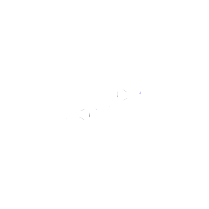 NCc1ccc(C2CC3(C2)CN(c2ccc(OC(F)(F)F)cc2)C3)c(F)c1